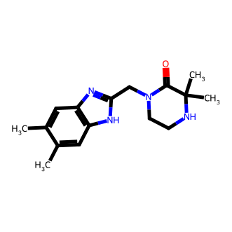 Cc1cc2nc(CN3CCNC(C)(C)C3=O)[nH]c2cc1C